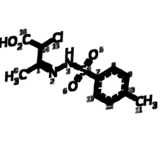 CC(=NNS(=O)(=O)c1ccc(C)cc1)C(Cl)C(=O)O